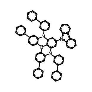 c1ccc(-c2cccc(N3c4cc(-c5ccccc5)ccc4B4c5ccc(-c6ccccc6)cc5N(c5cccc(-c6ccccc6)c5)c5cc(-n6c7ccccc7c7ccccc76)cc3c54)c2)cc1